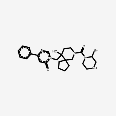 CC(C)C1CNCCN1C(=O)N1CCC(O)(Cn2cnc(-c3ccccc3)cc2=O)C2(CCCC2)C1